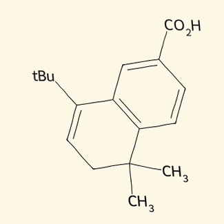 CC(C)(C)C1=CCC(C)(C)c2ccc(C(=O)O)cc21